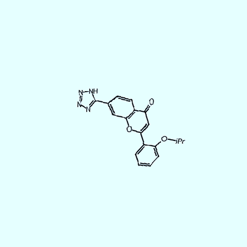 CC(C)Oc1ccccc1-c1cc(=O)c2ccc(-c3nnn[nH]3)cc2o1